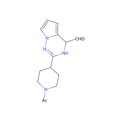 CC(=O)N1CCC(C2=Nn3cccc3C(C=O)N2)CC1